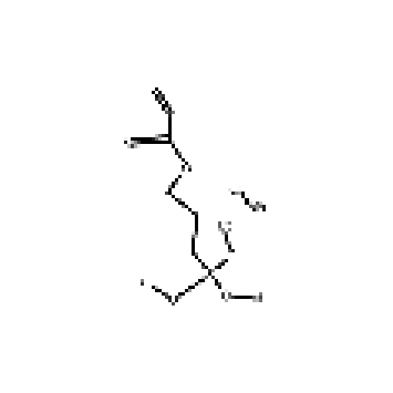 C=CC(=O)OCCC[Si](OCC)(OCC)OCC.[CH2]CCCl